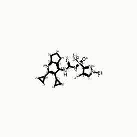 CCn1cc(F)c([S@@](N)(=O)=NC(=O)Nc2c3c(nc(C4CC4)c2C2CC2)CCC3)n1